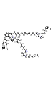 C=C(OC1CCC(COCC(CCCCCCCCC/C=C\C/C=C\CCCCC)CCCCCCCCCC/C=C\C/C=C\CCCCC)C1C/C=C\CC)C1CCN(N)CC1